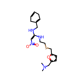 CN(C)Cc1ccc(CSCCNC(=C[N+](=O)[O-])NCC2=CCC=CC2)o1